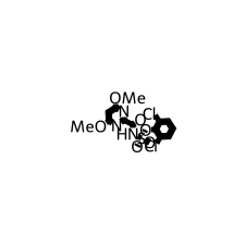 COc1cc(OC)nc(C(=O)NS(=O)(=O)Oc2c(Cl)cccc2Cl)n1